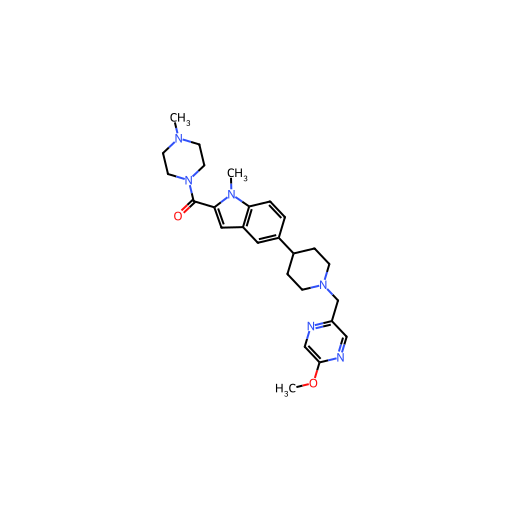 COc1cnc(CN2CCC(c3ccc4c(c3)cc(C(=O)N3CCN(C)CC3)n4C)CC2)cn1